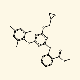 COC(=O)c1ccccc1Oc1nc(OCC2CO2)nc(Oc2c(C)cc(C)cc2C)n1